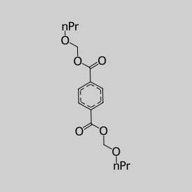 CCCOCOC(=O)c1ccc(C(=O)OCOCCC)cc1